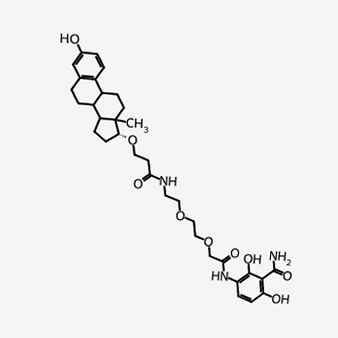 CC12CCC3c4ccc(O)cc4CCC3C1CC[C@H]2OCCC(=O)NCCOCCOCC(=O)Nc1ccc(O)c(C(N)=O)c1O